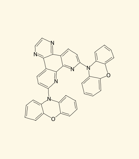 c1ccc2c(c1)Oc1ccccc1N2c1ccc2c3nccnc3c3ccc(N4c5ccccc5Oc5ccccc54)nc3c2n1